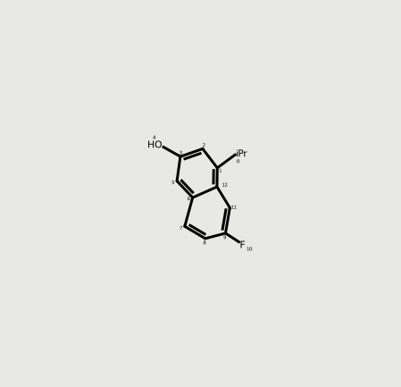 CC(C)c1cc(O)cc2ccc(F)cc12